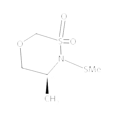 CSN1[C@@H](C)COCS1(=O)=O